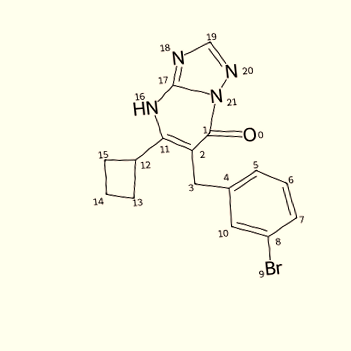 O=c1c(Cc2cccc(Br)c2)c(C2CCC2)[nH]c2ncnn12